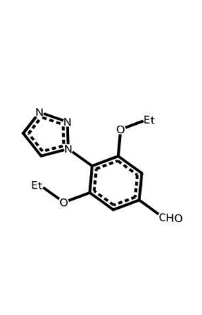 CCOc1cc(C=O)cc(OCC)c1-n1ccnn1